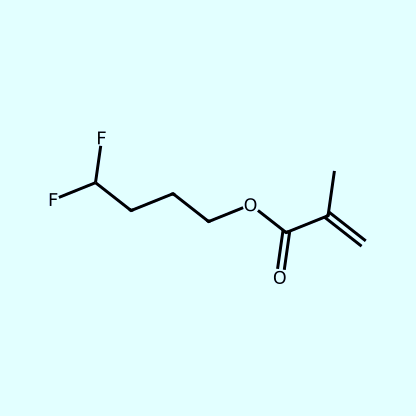 C=C(C)C(=O)OCCCC(F)F